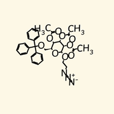 CC(=O)O[C@@H]1[C@@H](OC(C)=O)[C@@H](OCCN=[N+]=[N-])O[C@@H](COC(c2ccccc2)(c2ccccc2)c2ccccc2)[C@H]1OC(C)=O